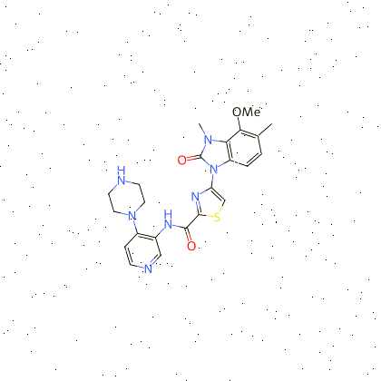 COc1c(C)ccc2c1n(C)c(=O)n2-c1csc(C(=O)Nc2cnccc2N2CCNCC2)n1